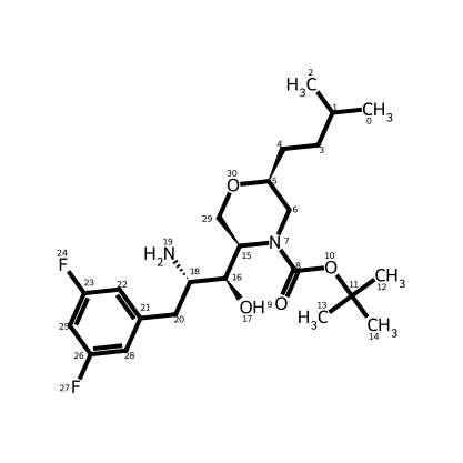 CC(C)CC[C@H]1CN(C(=O)OC(C)(C)C)[C@@H]([C@@H](O)[C@@H](N)Cc2cc(F)cc(F)c2)CO1